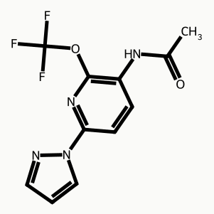 CC(=O)Nc1ccc(-n2cccn2)nc1OC(F)(F)F